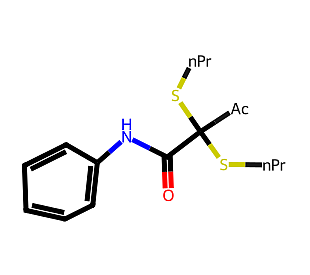 CCCSC(SCCC)(C(C)=O)C(=O)Nc1ccccc1